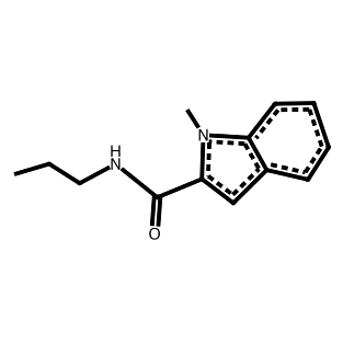 CCCNC(=O)c1cc2ccccc2n1C